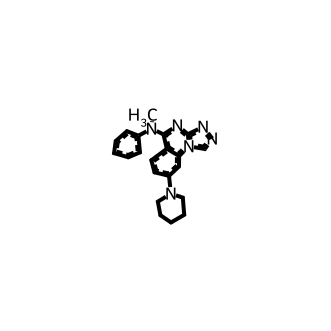 CN(c1ccccc1)c1nc2nncn2c2cc(N3CCCCC3)ccc12